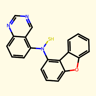 SN(c1cccc2ncncc12)c1cccc2oc3ccccc3c12